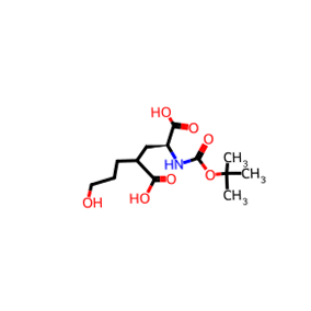 CC(C)(C)OC(=O)N[C@@H](CC(CCCO)C(=O)O)C(=O)O